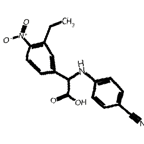 CCc1cc(C(Nc2ccc(C#N)cc2)C(=O)O)ccc1[N+](=O)[O-]